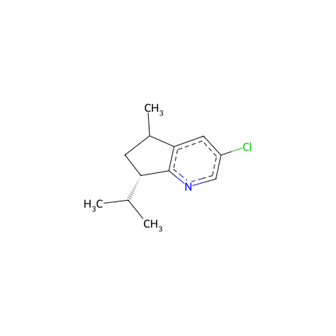 CC1C[C@@H](C(C)C)c2ncc(Cl)cc21